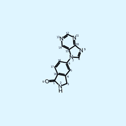 O=C1NCc2cc(-n3cnc4ncncc43)ccc21